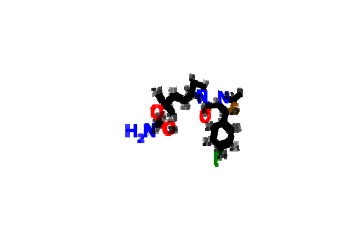 Cc1nc(C(=O)N2CCC2CCC(C)(C)OC(N)=O)c(-c2ccc(F)cc2)s1